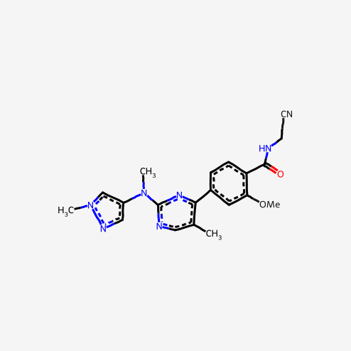 COc1cc(-c2nc(N(C)c3cnn(C)c3)ncc2C)ccc1C(=O)NCC#N